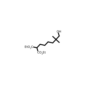 CCOC(=O)C(CCCCC(C)(C)CO)C(=O)OCC